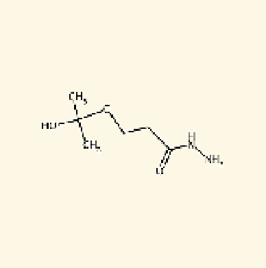 CC(C)(O)OCCC(=O)NN